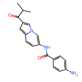 CC(C)C(=O)c1cc2ccc(NC(=O)c3ccc(N)cc3)cn2c1